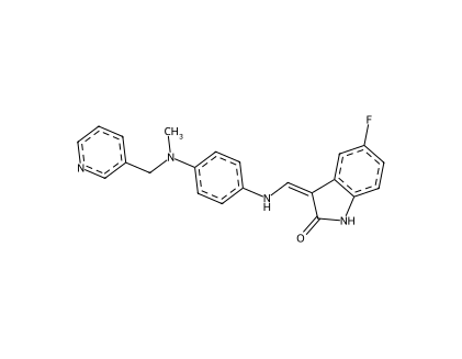 CN(Cc1cccnc1)c1ccc(NC=C2C(=O)Nc3ccc(F)cc32)cc1